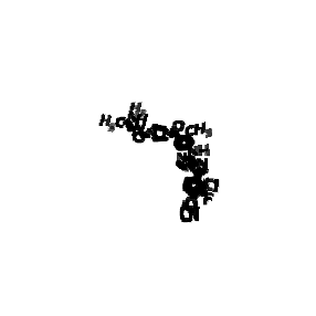 Cc1cc(Nc2nccn3c(-c4ccc(OCC#N)c(F)c4Cl)cnc23)ccc1C(=O)N1CCN(C(=O)NCC(C)N)CC1